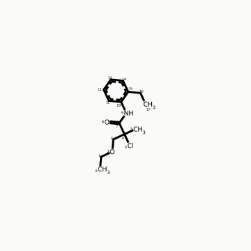 CCOCC(C)(Cl)C(=O)Nc1ccccc1CC